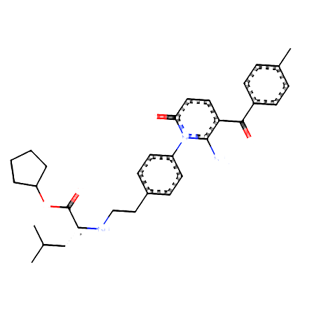 Cc1ccc(C(=O)c2ccc(=O)n(-c3ccc(CCN[C@H](CC(C)C)C(=O)OC4CCCC4)cc3)c2N)cc1